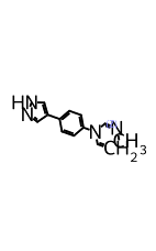 C=CN(/C=N\C)c1ccc(-c2cn[nH]c2)cc1